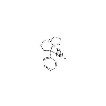 NC1(c2ccccc2)CCCN2CCC[C@H]21